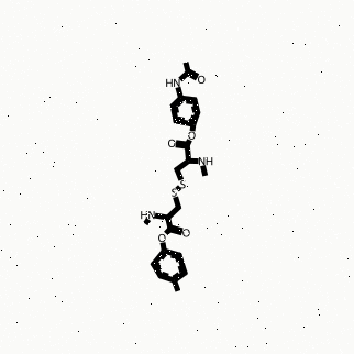 CNC(CSSCC(NC)C(=O)Oc1ccc(NC(C)=O)cc1)C(=O)Oc1ccc(C)cc1